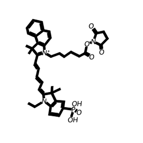 CCN1/C(=C/C=C/C=C/C2=[N+](CCCCCC(=O)ON3C(=O)CCC3=O)c3ccc4ccccc4c3C2(C)C)C(C)(C)c2cc(P(=O)(O)O)ccc21